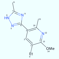 CCc1cc(-c2n[nH]c(C)n2)c(C)nc1OC